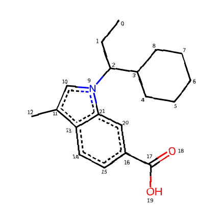 CCC(C1CCCCC1)n1cc(C)c2ccc(C(=O)O)cc21